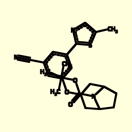 Cc1cnc(-c2cc(C#N)cc(OC3CC4CCC(C3)N4C(=O)OC(C)(C)C)c2)s1